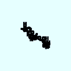 Cc1cc2c(F)c(Oc3ncnn4cc(OCC(O)CNS(=O)(=O)N(C)C)c(C)c34)ccc2[nH]1